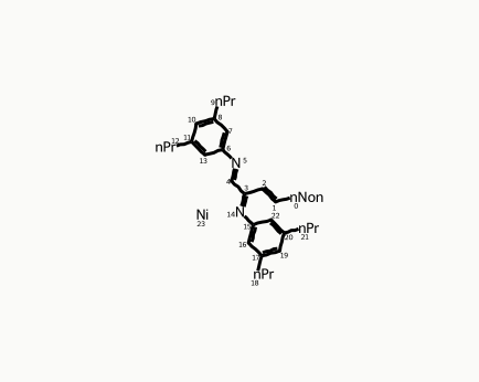 CCCCCCCCC/C=C/C(/C=N/c1cc(CCC)cc(CCC)c1)=N\c1cc(CCC)cc(CCC)c1.[Ni]